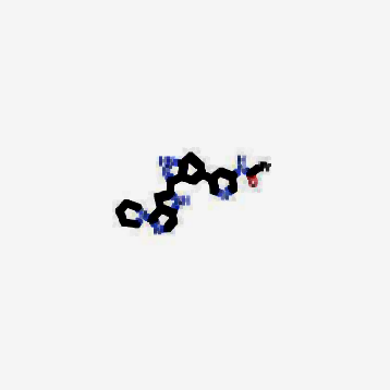 CC(C)C(=O)Nc1cncc(-c2ccc3[nH]nc(-c4cc5c(N6CCCCC6)nccc5[nH]4)c3c2)c1